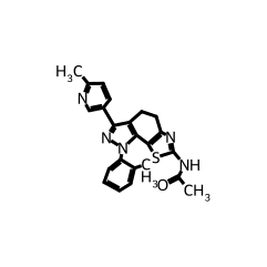 CC(=O)Nc1nc2c(s1)-c1c(c(-c3ccc(C)nc3)nn1-c1ccccc1C)CC2